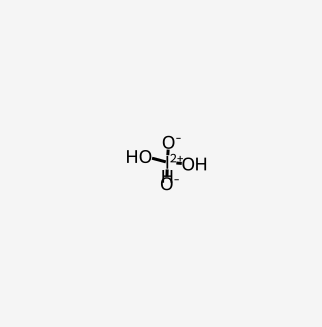 [O-][IH+2]([O-])(O)O